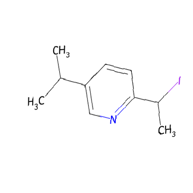 CC(C)c1ccc(C(C)I)nc1